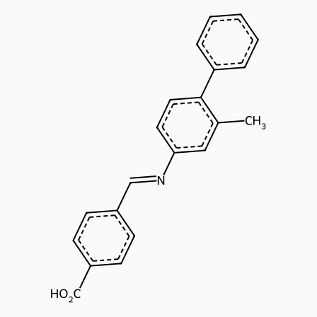 Cc1cc(N=Cc2ccc(C(=O)O)cc2)ccc1-c1ccccc1